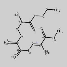 C=C(CCN(C)C(=O)CCCC)C(=C)S/C=C(\N)C(=O)OC